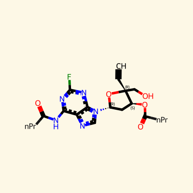 C#C[C@]1(CO)O[C@@H](n2cnc3c(NC(=O)CCC)nc(F)nc32)C[C@@H]1OC(=O)CCC